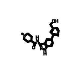 CN1CCC(C(=O)Nc2n[nH]c3ccc(-c4cccc(CO)c4)cc23)CC1